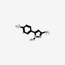 CCCn1nc(N)cc1-c1ccc(C)cc1